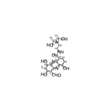 Cc1c(O)c(C=O)c2nc3c(O)ccc(C(=O)NCCN(C(C)O)C(C)O)c3nc2c1O